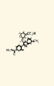 CNC(=O)c1ccc(-c2nc3cc(C)ccn3c2CC2CN(C(=O)O)CCO2)c(F)c1